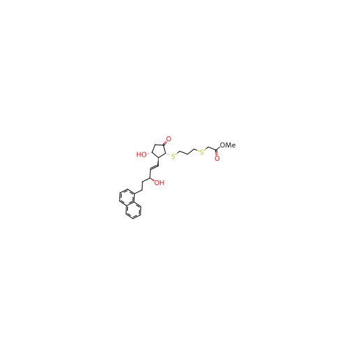 COC(=O)CSCCCS[C@H]1C(=O)C[C@@H](O)[C@@H]1C=C[C@@H](O)CCc1cccc2ccccc12